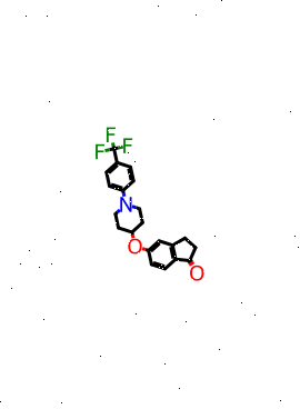 O=C1CCc2cc(OC3CCN(c4ccc(C(F)(F)F)cc4)CC3)ccc21